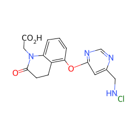 O=C(O)CN1C(=O)CCc2c(Oc3cc(CNCl)ncn3)cccc21